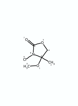 COC1(C)COC(=O)N1Cl